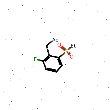 CCS(=O)(=O)c1c[c]cc(F)c1CC(C)=O